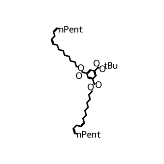 CCCCC/C=C\C/C=C\CCCCCCCCOC(=O)c1cc(C(=O)OCCCCCCCC/C=C\C/C=C\CCCCC)cc(C(=O)OC(C)(C)C)c1